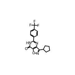 O=c1[nH]c(-c2ccc(C(F)(F)F)cc2)nc2c(C3CCCC3)noc12